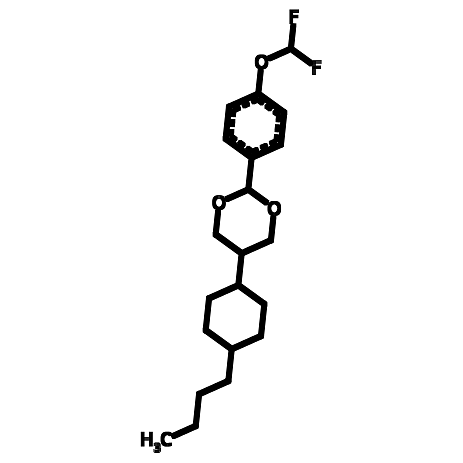 CCCCC1CCC(C2COC(c3ccc(OC(F)F)cc3)OC2)CC1